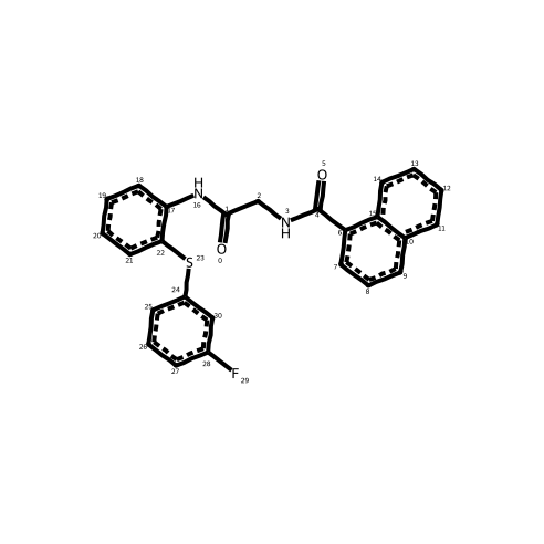 O=C(CNC(=O)c1cccc2ccccc12)Nc1ccccc1Sc1cccc(F)c1